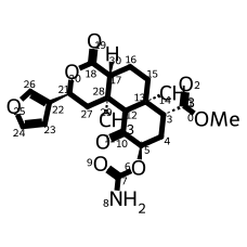 COC(=O)[C@@H]1C[C@@H](OC(N)=O)C(=O)C2[C@@]1(C)CC[C@H]1C(=O)O[C@H](c3ccoc3)C[C@]21C